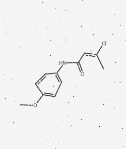 COc1ccc(NC(=O)/C=C(\C)Cl)cc1